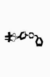 CC1(C)OB(c2ccc(N3CCN(Cc4ccccc4)CC3)nc2)OC1(C)C